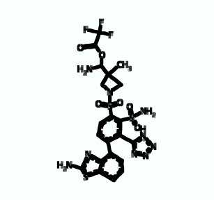 CC1(C(N)OC(=O)C(F)(F)F)CN(S(=O)(=O)c2ccc(-c3cccc4sc(N)nc34)c(-c3nnn[nH]3)c2S(N)(=O)=O)C1